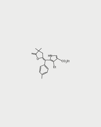 C=C1O/C(=C(\c2ccc(C)cc2)c2[nH]cc(C(=O)OCC)c2CC)CC1(C)C